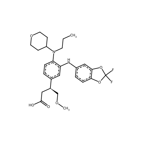 CCCN(c1ccc([C@@H](COC)CC(=O)O)cc1Nc1ccc2c(c1)OC(F)(F)O2)C1CCOCC1